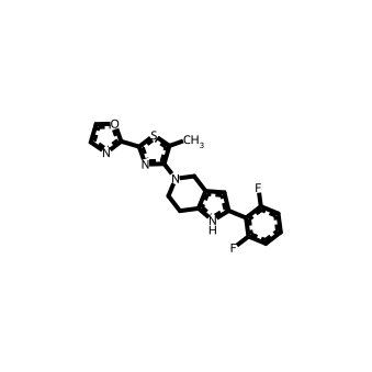 Cc1sc(-c2ncco2)nc1N1CCc2[nH]c(-c3c(F)cccc3F)cc2C1